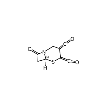 O=C=C1CN2C(=O)C[C@@H]2SC1=C=O